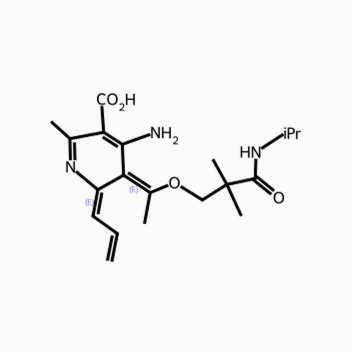 C=C/C=c1/nc(C)c(C(=O)O)c(N)/c1=C(/C)OCC(C)(C)C(=O)NC(C)C